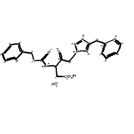 Cl.O=C(O)CC(NC(=O)OCc1ccccc1)C(=O)Cn1nnc(Cc2ccccn2)n1